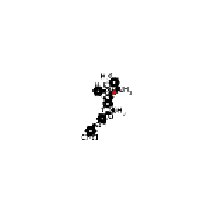 CC[C@H](c1ccccc1)N1Cc2cc3c(cc2CC1C(=O)O[C@@H]1C[C@H](C)CC[C@H]1C(C)C)N(C)C(=O)[C@H](c1ccc(OCc2ccc(Cl)c(Cl)c2)cc1)O3